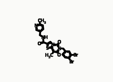 Cc1ccc(CNC(=O)c2cn3c(=O)n(Cc4ccc(Br)c(Br)c4)c(=O)c(C)c3s2)cn1